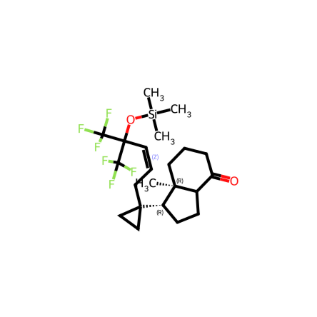 C[C@]12CCCC(=O)C1CC[C@@H]2C1(C/C=C\C(O[Si](C)(C)C)(C(F)(F)F)C(F)(F)F)CC1